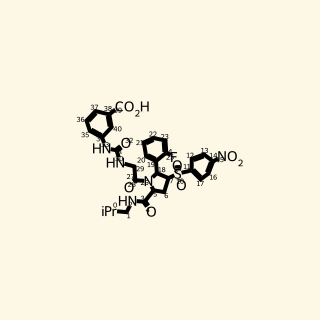 CC(C)CNC(=O)C1CC(S(=O)(=O)c2ccc([N+](=O)[O-])cc2)C(c2ccccc2F)N1C(=O)CNC(=O)Nc1cccc(C(=O)O)c1